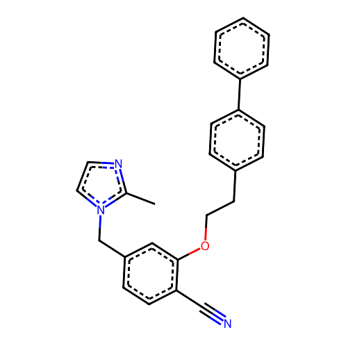 Cc1nccn1Cc1ccc(C#N)c(OCCc2ccc(-c3ccccc3)cc2)c1